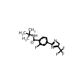 CC(C)(C)NC(=O)c1ccc(C2=NCC(C(F)(F)F)=N2)cc1F